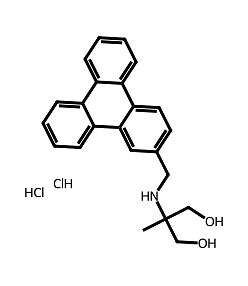 CC(CO)(CO)NCc1ccc2c3ccccc3c3ccccc3c2c1.Cl.Cl